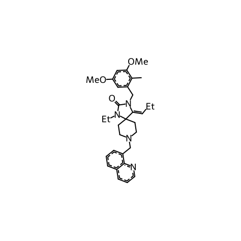 CC/C=C1\N(Cc2cc(OC)cc(OC)c2C)C(=O)N(CC)C12CCN(Cc1cccc3cccnc13)CC2